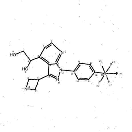 OCC(O)c1ccnc2c1c(C1CNC1)nn2-c1ccc(S(F)(F)(F)(F)F)cc1